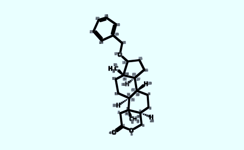 C[C@]12CC(=O)OC[C@@H]1CC[C@@H]1[C@@H]2CC[C@]2(C)C(OCc3ccccc3)CC[C@@H]12